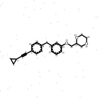 C(#CC1CC1)c1ccc(Cc2cccc(OCC3COCCO3)c2)cc1